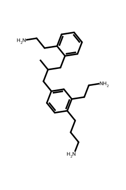 CC(Cc1ccc(CCCN)c(CCN)c1)Cc1ccccc1CCN